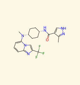 Cc1n[nH]cc1C(=O)N[C@H]1CC[C@@H](N(C)c2cccc3nc(C(F)(F)F)cn23)CC1